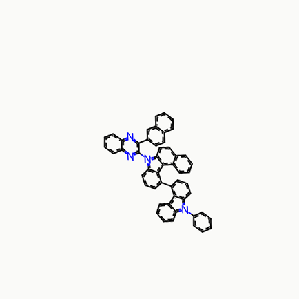 c1ccc(-n2c3ccccc3c3c(-c4cccc5c4c4c6ccccc6ccc4n5-c4nc5ccccc5nc4-c4ccc5ccccc5c4)cccc32)cc1